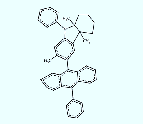 Cc1cc2c(cc1-c1c3ccccc3c(-c3ccccc3)c3ccccc13)C1(C)CCCCC1(C)N2c1ccccc1